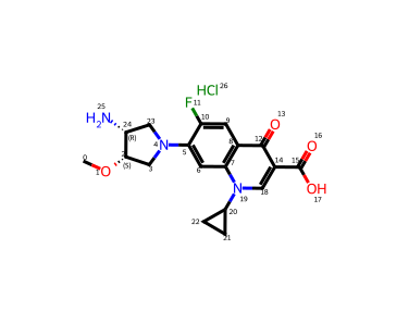 CO[C@H]1CN(c2cc3c(cc2F)c(=O)c(C(=O)O)cn3C2CC2)C[C@H]1N.Cl